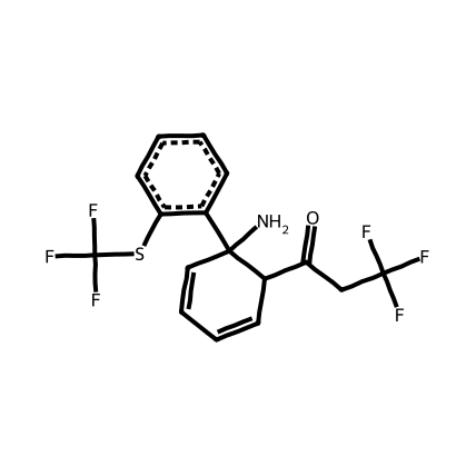 NC1(c2ccccc2SC(F)(F)F)C=CC=CC1C(=O)CC(F)(F)F